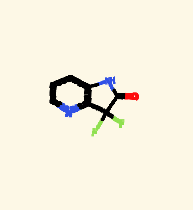 O=C1Nc2cccnc2C1(F)F